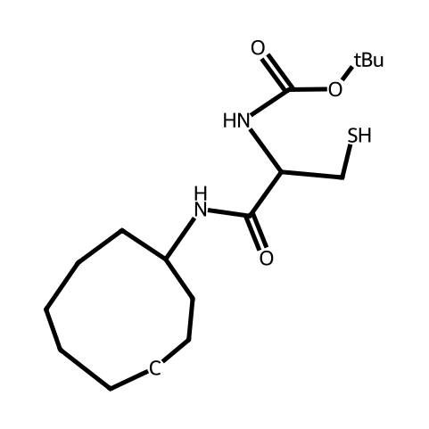 CC(C)(C)OC(=O)NC(CS)C(=O)NC1CCCCCCCC1